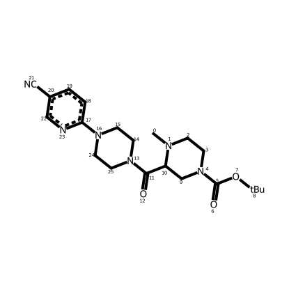 CN1CCN(C(=O)OC(C)(C)C)CC1C(=O)N1CCN(c2ccc(C#N)cn2)CC1